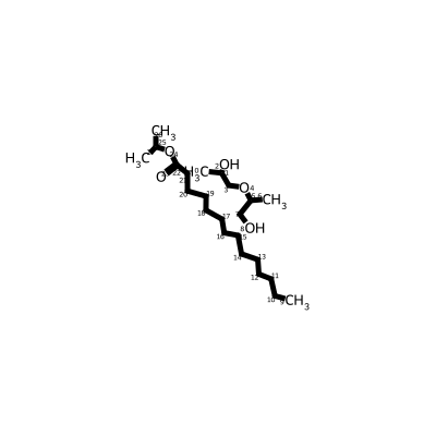 CC(O)COC(C)CO.CCCCCCCCCCCCCC(=O)OC(C)C